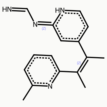 C/C(=C(\C)c1cccc(C)n1)c1cc[nH]/c(=N\C=N)c1